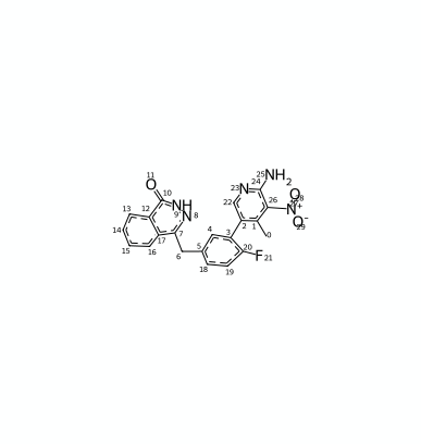 Cc1c(-c2cc(Cc3n[nH]c(=O)c4ccccc34)ccc2F)cnc(N)c1[N+](=O)[O-]